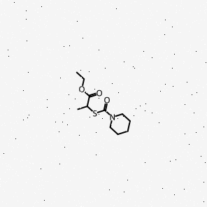 CCOC(=O)C(C)SC(=O)N1CCCCC1